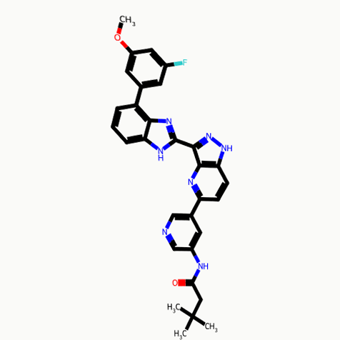 COc1cc(F)cc(-c2cccc3[nH]c(-c4n[nH]c5ccc(-c6cncc(NC(=O)CC(C)(C)C)c6)nc45)nc23)c1